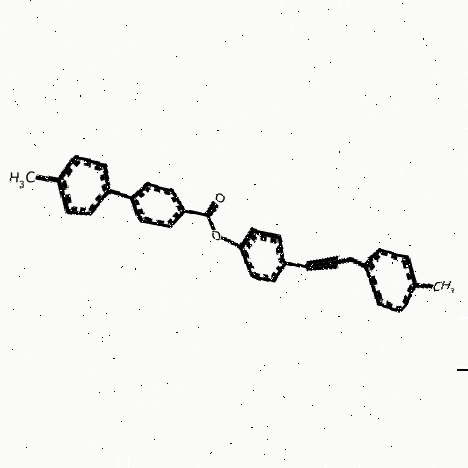 Cc1ccc(C#Cc2ccc(OC(=O)c3ccc(-c4ccc(C)cc4)cc3)cc2)cc1